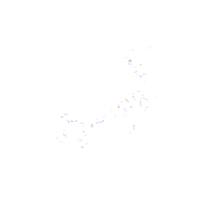 O=C(O)C(F)(F)F.O=C(O)CC[C@H](NC(=O)N[C@@H](CCCCNC(=O)[C@H](Cc1ccc(I)cc1)NC(=O)C1CCC(CNC(=O)CN2CCN(CC(=O)O)CCN(CC(=O)O)CCN(CC(=O)O)CC2)CC1)C(=O)O)C(=O)O